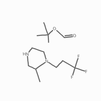 CC(C)(C)OC=O.CC1CNCCN1CCC(F)(F)F